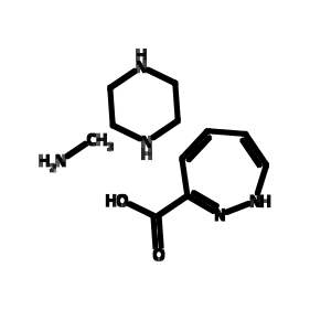 C1CNCCN1.CN.O=C(O)C1=NNC=CC=C1